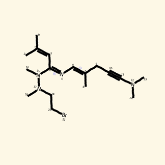 CC(C)=C/C(=N\C=C(/C)CC#CN(C)C)N(C)N(C)CCBr